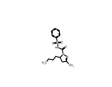 CCCCC1CC(C)=NN1C(=O)NS(=O)(=O)c1ccccc1